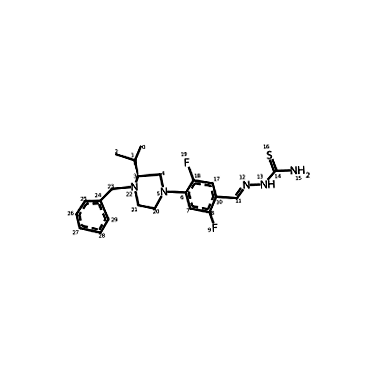 CC(C)[C@H]1CN(c2cc(F)c(/C=N/NC(N)=S)cc2F)CCN1Cc1ccccc1